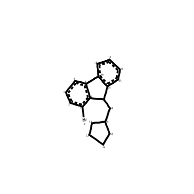 Brc1cccc2c1C(CC1CCCC1)c1ccccc1-2